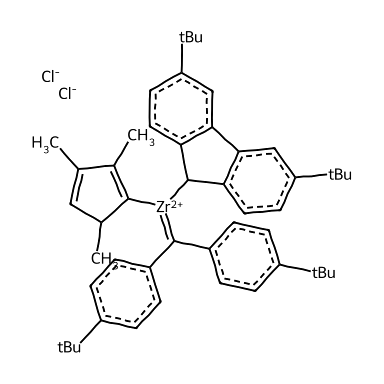 CC1=CC(C)[C]([Zr+2](=[C](c2ccc(C(C)(C)C)cc2)c2ccc(C(C)(C)C)cc2)[CH]2c3ccc(C(C)(C)C)cc3-c3cc(C(C)(C)C)ccc32)=C1C.[Cl-].[Cl-]